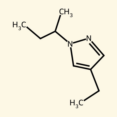 CCc1cnn(C(C)CC)c1